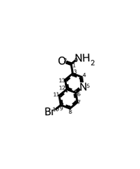 NC(=O)c1cnc2ccc(Br)cc2c1